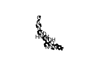 COCCN1CCN(c2ccc(Nc3cc(-c4ccnc(-n5ccn6c7c(cc6c5=O)CC(C)(C)C7)c4CO)nn(C)c3=O)nc2)CC1